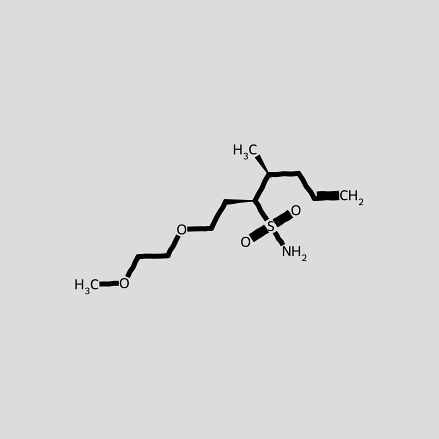 C=CC[C@H](C)[C@H](CCOCCOC)S(N)(=O)=O